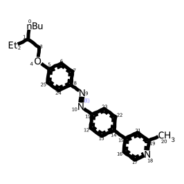 CCCCC(CC)COc1ccc(/N=N/c2ccc(-c3ccnc(C)c3)cc2)cc1